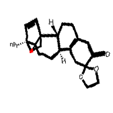 CCC[C@@]12C=CC3(CC1)[C@@H]1CCC4=C(CC5(OCCO5)C(=O)C4)[C@H]1CC[C@@]32C